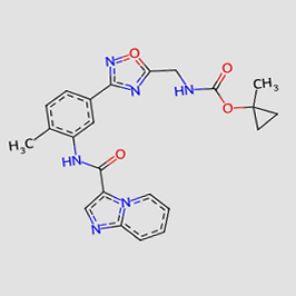 Cc1ccc(-c2noc(CNC(=O)OC3(C)CC3)n2)cc1NC(=O)c1cnc2ccccn12